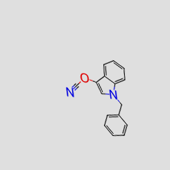 N#COc1cn(Cc2ccccc2)c2ccccc12